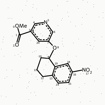 COC(=O)c1cncc(OC2CCCc3ccc([N+](=O)[O-])cc32)c1